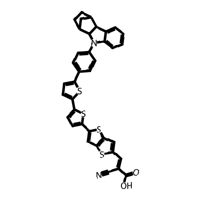 N#C/C(=C\c1cc2sc(-c3ccc(-c4ccc(-c5ccc(N6c7ccccc7C7C8CCC(C8)C76)cc5)s4)s3)cc2s1)C(=O)O